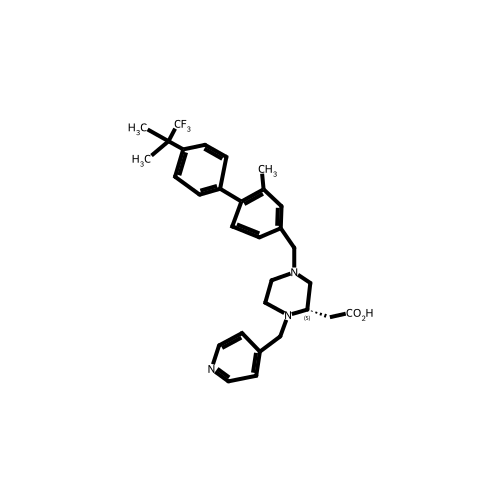 Cc1cc(CN2CCN(Cc3ccncc3)[C@@H](CC(=O)O)C2)ccc1-c1ccc(C(C)(C)C(F)(F)F)cc1